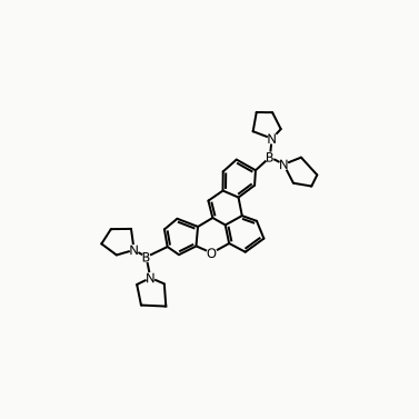 c1cc2c3c(cc4ccc(B(N5CCCC5)N5CCCC5)cc4c3c1)-c1ccc(B(N3CCCC3)N3CCCC3)cc1O2